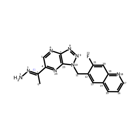 C/C(=N\N)c1cnc2nnn(Cc3cc4cccnc4cc3F)c2n1